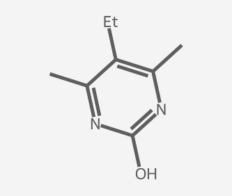 CCc1c(C)nc(O)nc1C